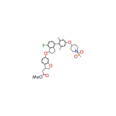 COC(=O)CC1COc2cc(O[C@@H]3CCc4c(-c5c(C)cc(OC6CCN(S(C)(=O)=O)CC6)cc5C)ccc(F)c43)ccc21